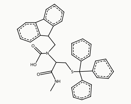 CNC(=O)C(CSC(c1ccccc1)(c1ccccc1)c1ccccc1)N(CC1c2ccccc2-c2ccccc21)C(=O)O